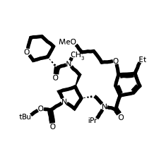 CCc1ccc(C(=O)N(C[C@@H]2CN(C(=O)OC(C)(C)C)C[C@H]2CN(C)C(=O)[C@H]2CCCOC2)C(C)C)cc1OCCCOC